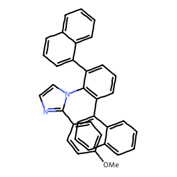 COc1ccc(-c2nccn2-c2c(-c3cccc4ccccc34)cccc2-c2cccc3ccccc23)cc1